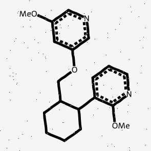 COc1cncc(OCC2CCCCC2c2cccnc2OC)c1